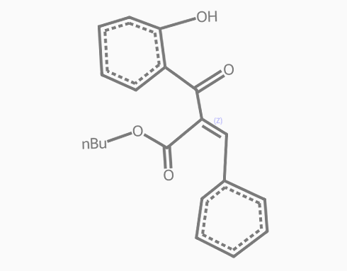 CCCCOC(=O)/C(=C\c1ccccc1)C(=O)c1ccccc1O